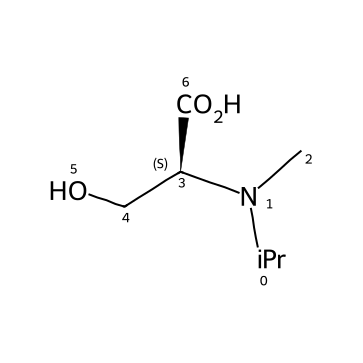 CC(C)N(C)[C@@H](CO)C(=O)O